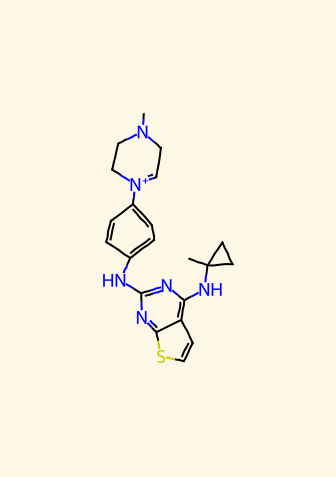 CN1CC=[N+](c2ccc(Nc3nc(NC4(C)CC4)c4ccsc4n3)cc2)CC1